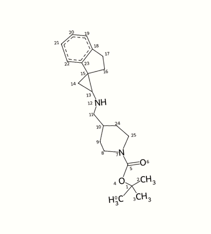 CC(C)(C)OC(=O)N1CCC(CNC2CC23CCc2ccccc23)CC1